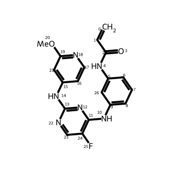 C=CC(=O)Nc1cccc(Nc2nc(Nc3ccnc(OC)c3)ncc2F)c1